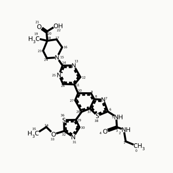 CCNC(=O)Nc1nc2cc(-c3cnc(N4CCC(C)(C(=O)O)CC4)nc3)cc(-c3cnc(OCC)s3)c2s1